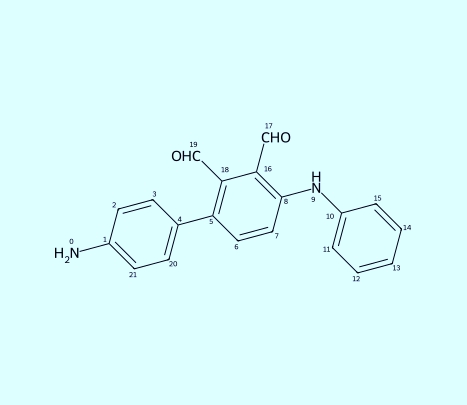 Nc1ccc(-c2ccc(Nc3ccccc3)c(C=O)c2C=O)cc1